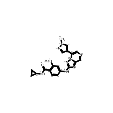 COc1cc(Nc2nc3cncc(-c4cnn(C)c4)n3n2)ccc1C(=O)NC1CC1